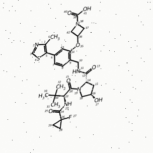 Cc1ncsc1-c1ccc(CNC(=O)[C@@H]2C[C@@H](O)CN2C(=O)[C@@H](NC(=O)C2(F)CC2)C(C)(C)C)c(OC2CN(C(=O)O)C2)c1